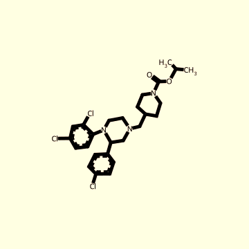 CC(C)OC(=O)N1CCC(CN2CCN(c3ccc(Cl)cc3Cl)C(c3ccc(Cl)cc3)C2)CC1